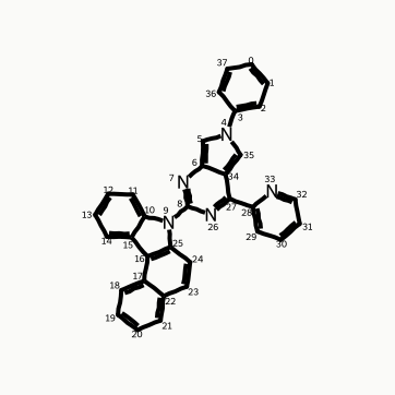 c1ccc(-n2cc3nc(-n4c5ccccc5c5c6ccccc6ccc54)nc(-c4ccccn4)c3c2)cc1